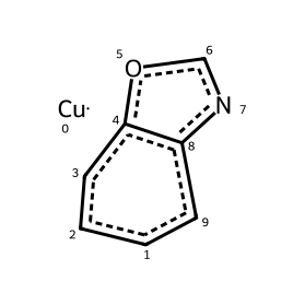 [Cu].c1ccc2ocnc2c1